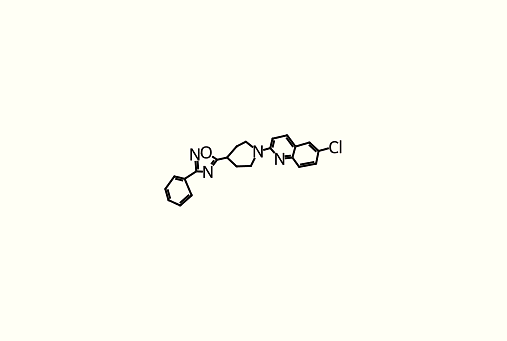 Clc1ccc2nc(N3CCC(c4nc(-c5ccccc5)no4)CC3)ccc2c1